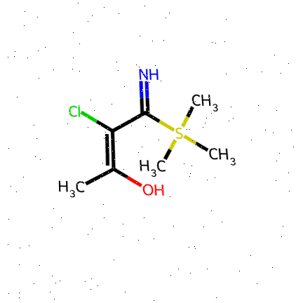 C/C(O)=C(\Cl)C(=N)S(C)(C)C